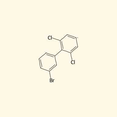 Clc1c[c]cc(Cl)c1-c1cccc(Br)c1